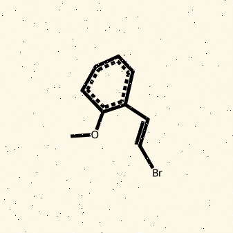 COc1ccccc1C=CBr